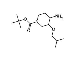 CC(C)COC1CN(C(=O)OC(C)(C)C)CCC1N